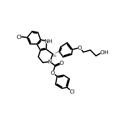 O=C(Oc1ccc(Cl)cc1)N1CCc2c([nH]c3ccc(Cl)cc23)[C@@H]1c1ccc(OCCCO)cc1